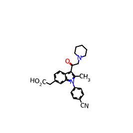 Cc1c(C(=O)CN2CCCCC2)c2ccc(CC(=O)O)cc2n1-c1ccc(C#N)cc1